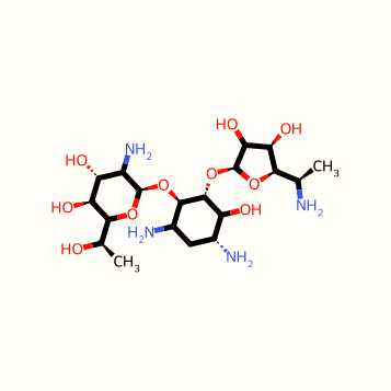 C[C@@H](O)C1O[C@H](O[C@@H]2C(N)C[C@@H](N)C(O)[C@H]2O[C@@H]2O[C@H]([C@@H](C)N)[C@H](O)C2O)C(N)[C@@H](O)[C@@H]1O